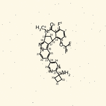 CN1C(=O)c2c(F)ccc(OC(F)F)c2C2CC1c1nn3ccc(-c4cnc(C5(N)CCC5)nc4)cc3c12